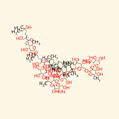 C=CC(C)(O)CC/C=C(\CO)C(=O)OC1C(C)OC(O[C@](C)(C=C)CC/C=C(\CO)C(=O)O[C@H]2C[C@@]3(C(=O)OC4OC(CO)C(O)C(O)C4OC4OC(C)C(OC5OC(CO)C(O)C5O)C(OC5OC(CO)C(O)C(O)C5O)C4O)C(CC2(C)C)C2=CCC4[C@@]5(C)CC[C@H](OC6OC(COC7OC(C)C(O)C(O)C7OC7OCC(O)C(O)C7O)C(O)C(O)C6NC(C)=O)C(C)(C)C5CC[C@@]4(C)[C@]2(C)C[C@H]3O)C(O)C1O